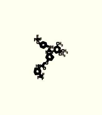 C[C@@H]1C[C@H](n2c(Nc3ccc(OC(F)(F)F)cc3)nc3cc(OCC(=O)Nc4cccc(C(F)(F)F)c4)ccc32)CC(C)(C)C1